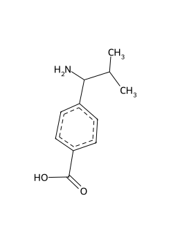 CC(C)C(N)c1ccc(C(=O)O)cc1